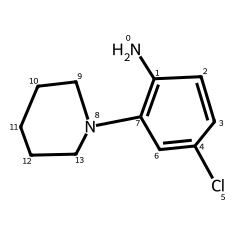 Nc1ccc(Cl)cc1N1CCCCC1